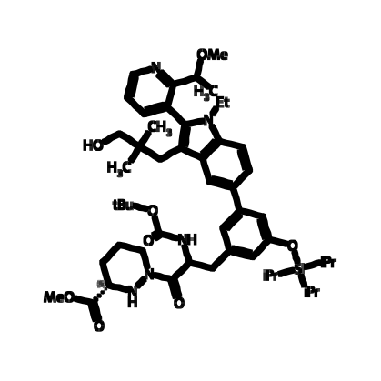 CCn1c(-c2cccnc2C(C)OC)c(CC(C)(C)CO)c2cc(-c3cc(CC(NC(=O)OC(C)(C)C)C(=O)N4CCC[C@@H](C(=O)OC)N4)cc(O[Si](C(C)C)(C(C)C)C(C)C)c3)ccc21